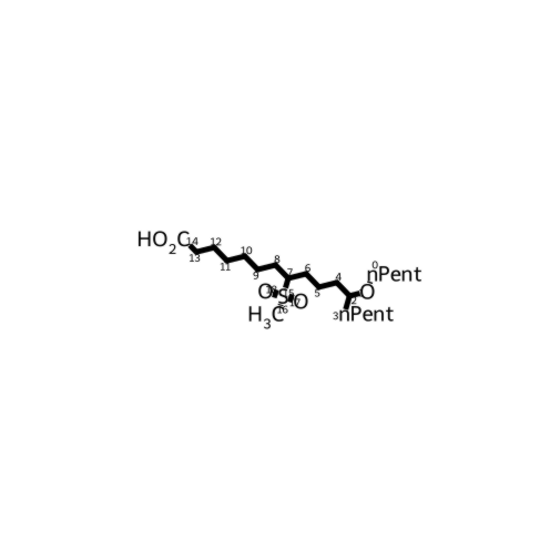 CCCCCOC(CCCCC)CCCC(CCCCCCC(=O)O)S(C)(=O)=O